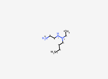 CCN(CCC[SiH2])NCCN